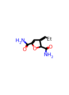 CCC=C1C=C(C(N)=O)OC1C(N)=O